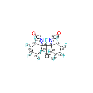 O=C=NC1(C(F)(C2(N=C=O)CC(F)C(F)C(F)C2F)C(F)(F)C(F)(F)F)CC(F)C(F)C(F)C1F